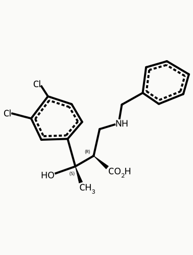 C[C@@](O)(c1ccc(Cl)c(Cl)c1)[C@@H](CNCc1ccccc1)C(=O)O